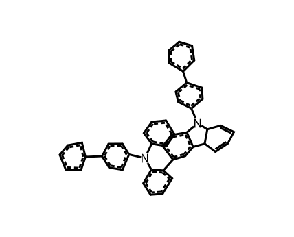 C1=CC2c3cc(-c4ccccc4N(c4ccccc4)c4ccc(-c5ccccc5)cc4)ccc3N(c3ccc(-c4ccccc4)cc3)C2C=C1